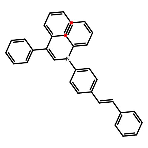 C(=C(c1ccccc1)c1ccccc1)N(c1ccccc1)c1ccc(/C=C/c2ccccc2)cc1